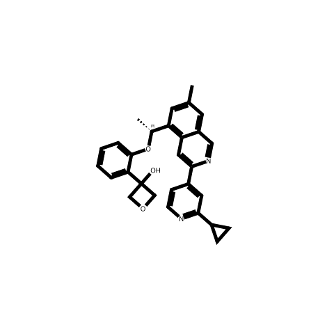 Cc1cc([C@@H](C)Oc2ccccc2C2(O)COC2)c2cc(-c3ccnc(C4CC4)c3)ncc2c1